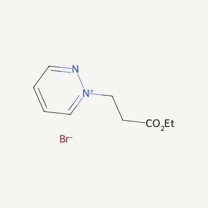 CCOC(=O)CC[n+]1ccccn1.[Br-]